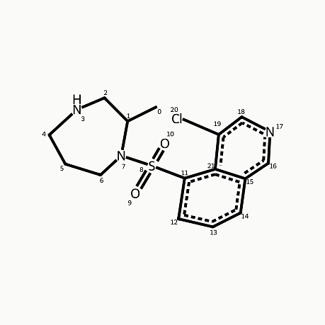 CC1CNCCCN1S(=O)(=O)c1cccc2cncc(Cl)c12